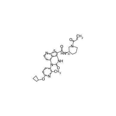 C=CC(=O)N1CCC[C@@H](NC(=O)c2sc3nccc4c3c2NC(=O)N4c2ccc(OC3CCC3)nc2C)C1